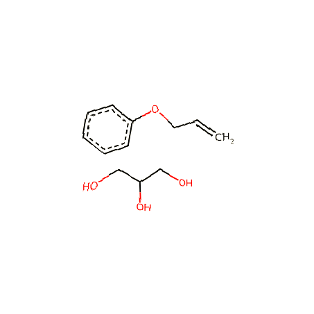 C=CCOc1ccccc1.OCC(O)CO